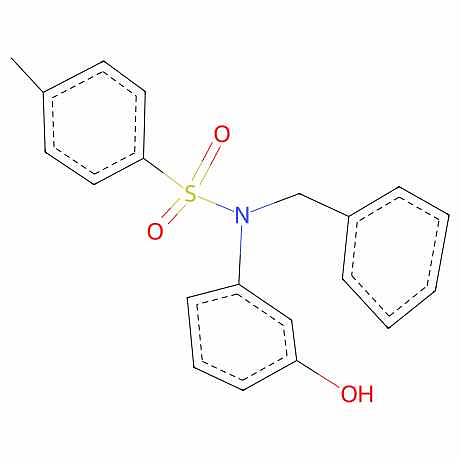 Cc1ccc(S(=O)(=O)N(Cc2ccccc2)c2cccc(O)c2)cc1